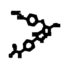 CC(C)(C)c1nn2nc(-c3ccc(N[SH](=O)=O)cc3)[nH]c2c1Sc1ccc(NC=O)cc1